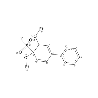 CCOC1C=C(c2ccccc2)C=CC1(OCC)S(C)(=O)=O